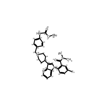 CC(C)N(C)C(=O)c1cc(F)ccc1-n1cc(C2CCN(Cc3ccc(NC(=O)OC(C)(C)C)cc3)CC2)c2ncccc21